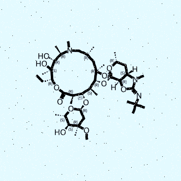 CC[C@H]1OC(=O)[C@H](C)[C@@H](O[C@H]2C[C@@](C)(OC)[C@@H](O)[C@H](C)O2)[C@H](C)[C@@H](O[C@@H]2O[C@H](C)C[C@H]3[C@H]2OC(=NC(C)(C)C)N3C)[C@](C)(O)C[C@@H](C)CN(C)[C@H](C)[C@@H](O)[C@]1(C)O